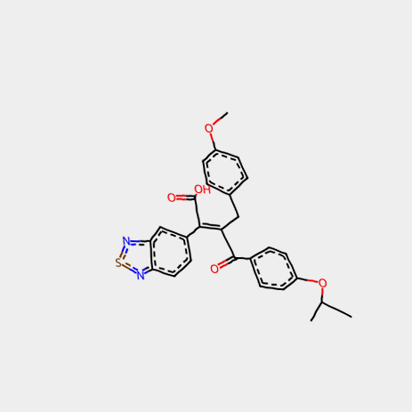 COc1ccc(CC(C(=O)c2ccc(OC(C)C)cc2)=C(C(=O)O)c2ccc3nsnc3c2)cc1